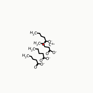 CCCCC(=O)[O-].CCCCC(=O)[O-].CCCCC(=O)[O-].CCCCC(=O)[O-].[C+4]